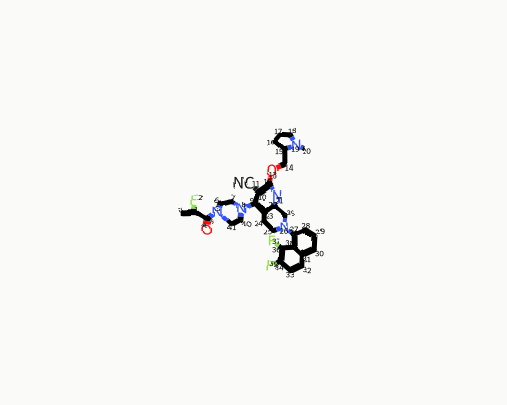 C=C(F)C(=O)N1CCN(c2c(C#N)c(OCC3CCCN3C)nc3c2CCN(c2cccc4ccc(F)c(F)c24)C3)CC1